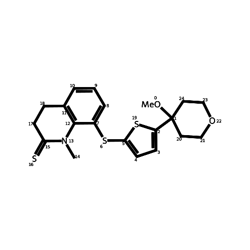 COC1(c2ccc(Sc3cccc4c3N(C)C(=S)CC4)s2)CCOCC1